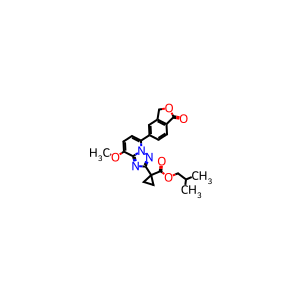 COc1ccc(-c2ccc3c(c2)COC3=O)n2nc(C3(C(=O)OCC(C)C)CC3)nc12